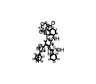 O=c1c2ccc(Nc3ncc(-c4nc(C56CCN(CC5)CC6)no4)c(N[C@H](CO)c4ccccc4)n3)c(F)c2n2n1COCS2(=O)=O